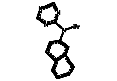 CC(C)N(c1ccc2ccccc2c1)c1ncncn1